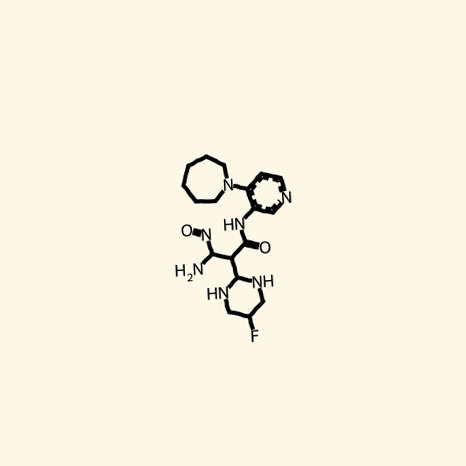 NC(N=O)C(C(=O)Nc1cnccc1N1CCCCCC1)C1NCC(F)CN1